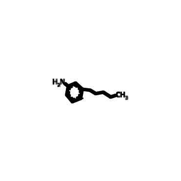 CCCCCc1[c]ccc(N)c1